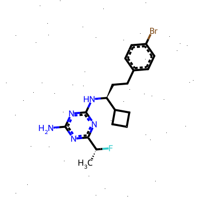 C[C@@H](F)c1nc(N)nc(N[C@@H](CCc2ccc(Br)cc2)C2CCC2)n1